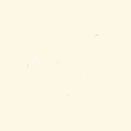 COC(=O)c1ccc2c(c1)CCCC(c1cccc(OC)c1OC)=C2c1ccc(CC2CN(CCCF)C2)cc1